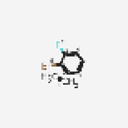 C=C.Fc1ccccc1Br